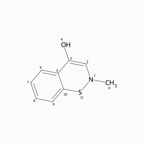 CN1[C]=C(O)c2ccccc2S1